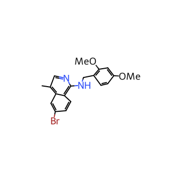 COc1ccc(CNc2ncc(C)c3cc(Br)ccc23)c(OC)c1